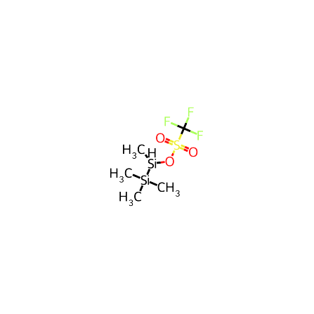 C[SiH](OS(=O)(=O)C(F)(F)F)[Si](C)(C)C